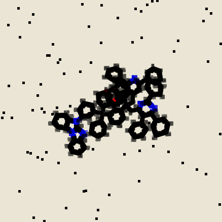 c1ccc(-c2cc(CC3(Cc4nc(-c5ccccc5)nc(-c5ccccc5)c4-c4ccccc4)c4ccccc4Oc4c3cccc4[Si](c3ccccc3)(c3ccccc3)c3cccc(-n4c5ccccc5n5c6ccccc6nc45)c3)c(-c3ccccc3)c(-c3ccccc3)n2)cc1